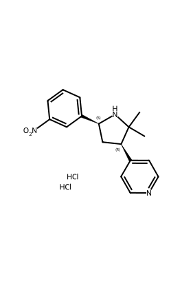 CC1(C)N[C@H](c2cccc([N+](=O)[O-])c2)C[C@@H]1c1ccncc1.Cl.Cl